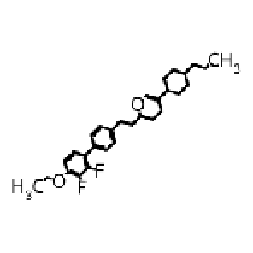 CCCC1CCC(C2=COC(CCc3ccc(-c4ccc(OCC)c(F)c4F)cc3)CC2)CC1